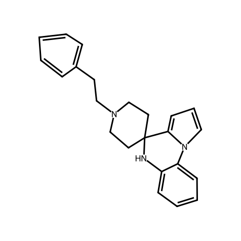 c1ccc(CCN2CCC3(CC2)Nc2ccccc2-n2cccc23)cc1